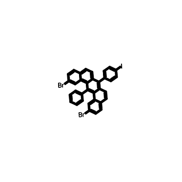 Brc1ccc2ccc3c(-c4ccc(I)cc4)c4ccc5ccc(Br)cc5c4c(-c4ccccc4)c3c2c1